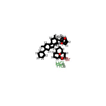 CCCCC1(c2ccccc2)C(C)=CC2=c3cc(C)c(-c4ccccc4)cc3=CC2=[C]1[Zr]([C]1=CC=CC1)=[C](Cc1cccc(Br)c1)Cc1cccc(Br)c1.Cl.Cl